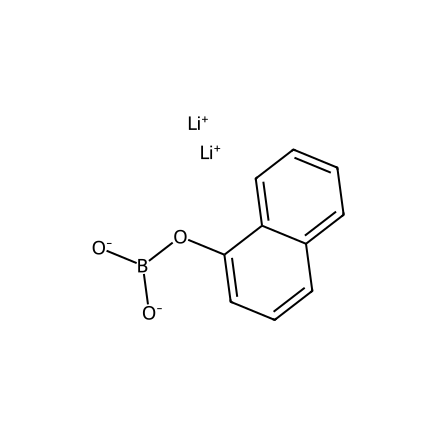 [Li+].[Li+].[O-]B([O-])Oc1cccc2ccccc12